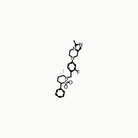 Cc1ncc2n1CCN(c1ccc(CN3[C@@H](C)CCC(c4ccccc4)S3(=O)=O)c(F)c1)C2